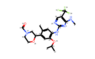 CNc1nc(Nc2cc(C)c(C3CN(C=O)CCO3)cc2OC(C)C)ncc1C(F)(F)F